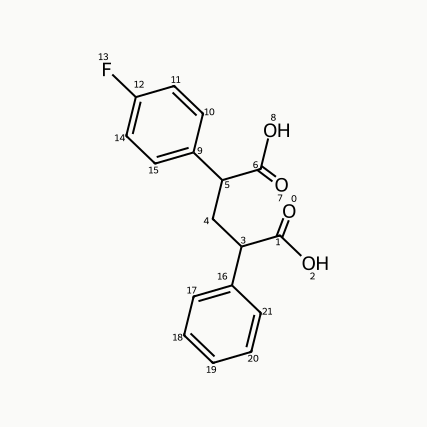 O=C(O)C(CC(C(=O)O)c1ccc(F)cc1)c1ccccc1